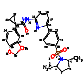 CC1CCC(C)N1S(=O)(=O)c1ccc(-c2cccc(NC(=O)C3(c4ccc5c(c4)OCO5)CC3)n2)cc1